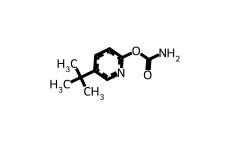 CC(C)(C)c1ccc(OC(N)=O)nc1